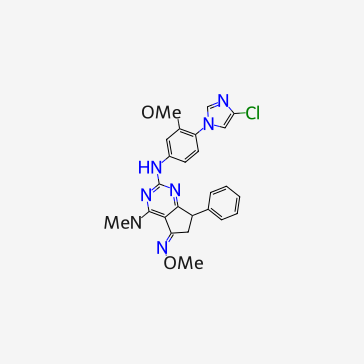 CNc1nc(Nc2ccc(-n3cnc(Cl)c3)c(OC)c2)nc2c1C(=NOC)CC2c1ccccc1